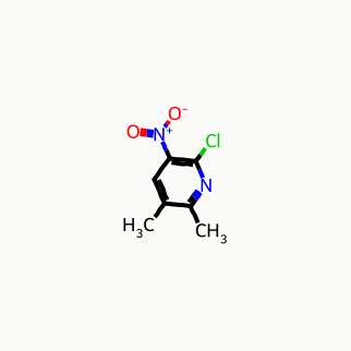 Cc1cc([N+](=O)[O-])c(Cl)nc1C